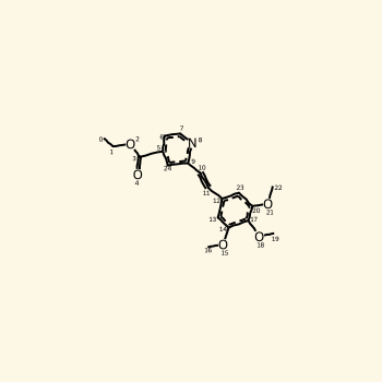 CCOC(=O)c1ccnc(C#Cc2cc(OC)c(OC)c(OC)c2)c1